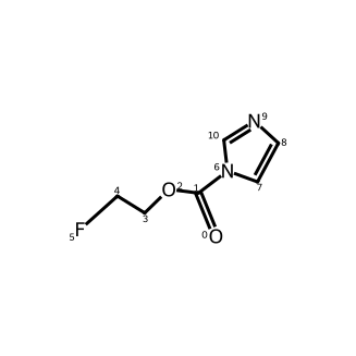 O=C(OCCF)n1ccnc1